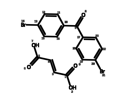 O=C(O)/C=C/C(=O)O.O=C(c1ccc(Br)cc1)c1ccc(Br)cc1